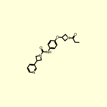 CCC(=O)N1CC(Oc2ccc(NC(=O)N3CC(c4cccnc4)C3)cc2)C1